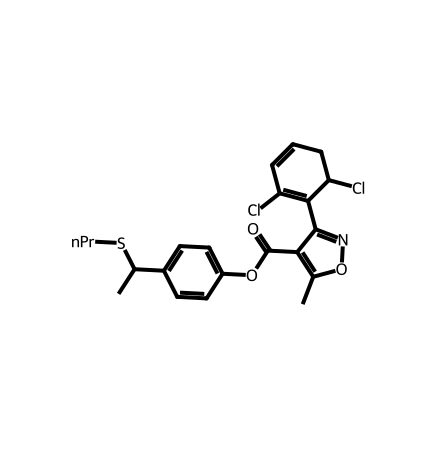 CCCSC(C)c1ccc(OC(=O)c2c(C3=C(Cl)C=CCC3Cl)noc2C)cc1